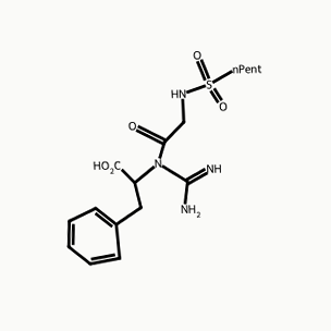 CCCCCS(=O)(=O)NCC(=O)N(C(=N)N)C(Cc1ccccc1)C(=O)O